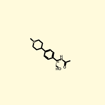 CC(=O)N[C@H](CO)c1ccc(C2CCN(C)CC2)cc1